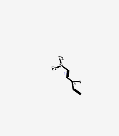 C=C[C@H](I)/C=C/N(CC)CC